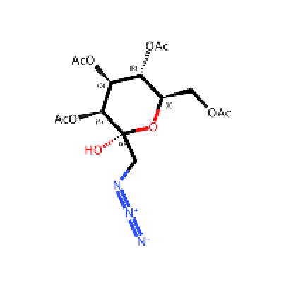 CC(=O)OC[C@H]1O[C@@](O)(CN=[N+]=[N-])[C@@H](OC(C)=O)[C@@H](OC(C)=O)[C@@H]1OC(C)=O